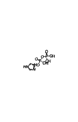 O=P(O)(O)OP(=O)(O)O.c1c[nH]cn1